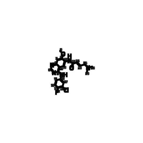 COc1cc2ncnc(Nc3ccc(F)c(Cl)c3)c2cc1NC(=O)C=CCN(C)C